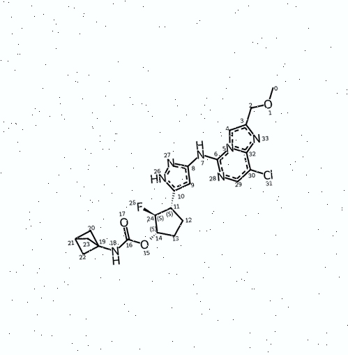 COCc1cn2c(Nc3cc([C@@H]4CC[C@H](OC(=O)NC56CC(C5)C6)[C@H]4F)[nH]n3)ncc(Cl)c2n1